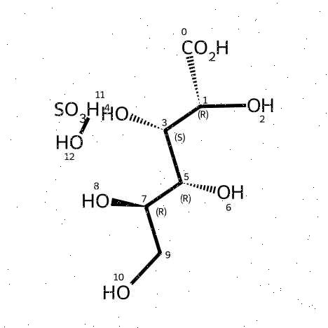 O=C(O)[C@H](O)[C@@H](O)[C@H](O)[C@H](O)CO.O=S(=O)(O)O